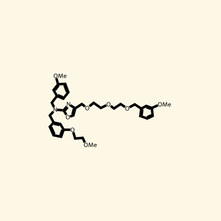 COCCOc1cccc(CN(Cc2cccc(OC)c2)c2nc(COCCOCCOCc3cccc(OC)c3)co2)c1